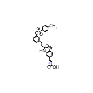 Cc1ccc(S(=O)(=O)Oc2cccc(CCC(=O)Nc3cc(/C=C/C(=O)O)ccc3Br)c2)cc1